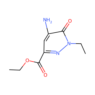 CCOC(=O)c1cc(N)c(=O)n(CC)n1